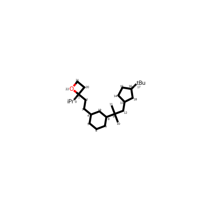 CC(C)C1(CCC2CCCC(C(C)(C)CC3CCC(C(C)(C)C)C3)C2)CCO1